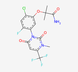 Cn1c(C(F)(F)F)cc(=O)n(-c2cc(OC(C)(C)C(N)=O)c(Cl)cc2F)c1=O